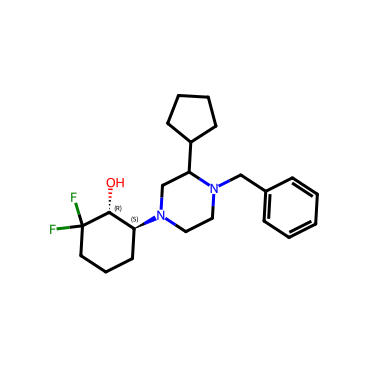 O[C@@H]1[C@@H](N2CCN(Cc3ccccc3)C(C3CCCC3)C2)CCCC1(F)F